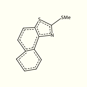 CSc1nc2c(ccc3ccccc32)s1